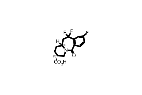 O=C(O)[C@@H]1CC[C@@H]2CC(F)(F)c3cc(F)ccc3C(=O)N2C1